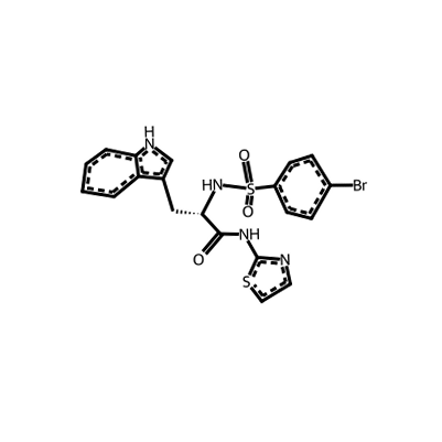 O=C(Nc1nccs1)[C@H](Cc1c[nH]c2ccccc12)NS(=O)(=O)c1ccc(Br)cc1